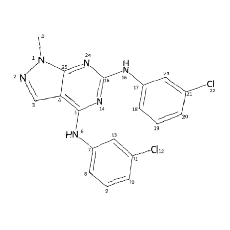 Cn1ncc2c(Nc3cccc(Cl)c3)nc(Nc3cccc(Cl)c3)nc21